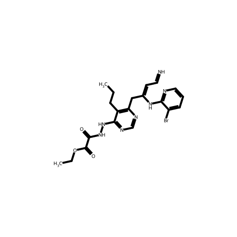 CCCc1c(C/C(=C/C=N)Nc2ncccc2Br)ncnc1NNC(=O)C(=O)OCC